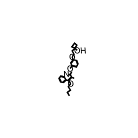 CCCCOc1c(C)c(COc2cccc(OCCC3(O)CCC3)c2)nc2ccccc12